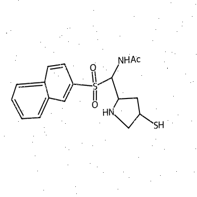 CC(=O)NC(C1CC(S)CN1)S(=O)(=O)c1ccc2ccccc2c1